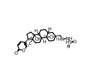 C[C@]12CC[C@H](CNN[SH](=O)=O)C[C@H]1CC[C@@H]1[C@@H]2CC[C@]2(C)[C@@H](c3ccc(=O)oc3)CC[C@]12O